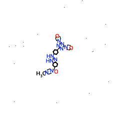 CN1CCN(C(=O)c2ccc3nc(Nc4ccc(-c5nc(N6CCOCC6)nc(N6CCOCC6)n5)cc4)[nH]c3c2)CC1